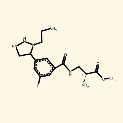 CCCN1NNCC1c1cc(F)cc(C(=O)NC[C@@H](N)C(=O)OC)c1